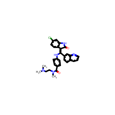 CN(C)CCN(C)C(=O)c1ccc(NC(=C2C(=O)Nc3cc(Cl)ccc32)c2ccc3cccnc3c2)cc1